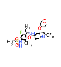 Cc1cc([C@@H](C)NC(=O)c2ccc3nc(C(F)(F)F)cc(OC4CCOCC4)c3c2)c(F)cc1NS(C)(=O)=O